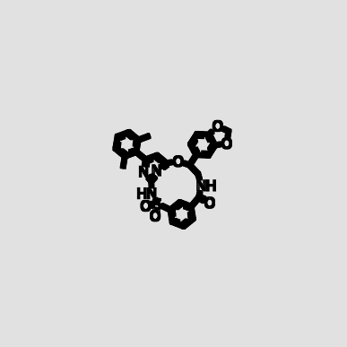 Cc1cccc(C)c1-c1cc2nc(n1)NS(=O)(=O)c1cccc(c1)C(=O)NCC(c1ccc3c(c1)OCO3)O2